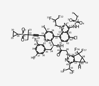 CCS(=O)(=O)Nc1nn(CC(F)F)c2c(-c3cc(I)c(C#CC(C)(C)S(=O)(=O)C4CC4)nc3[C@H](Cc3cc(F)cc(F)c3)NC(=O)Cn3nc(C(F)F)c4c3C(F)(F)C3C[C@H]43)ccc(Cl)c12